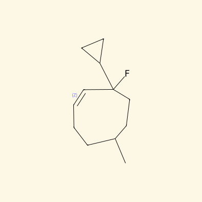 CC1CC/C=C\C(F)(C2CC2)CC1